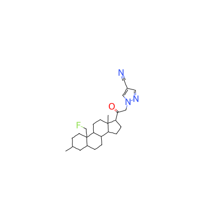 CC1CCC2(CF)C(CCC3C4CCC(C(=O)Cn5cc(C#N)cn5)C4(C)CCC32)C1